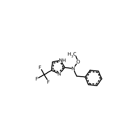 CON(Cc1ccccc1)c1nc(C(F)(F)F)c[nH]1